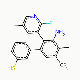 Cc1cnc(F)c(-c2c(-c3cccc(S)c3)cc(C(F)(F)F)c(C)c2N)c1